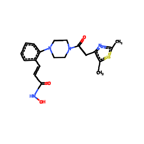 Cc1nc(CC(=O)N2CCN(c3ccccc3C=CC(=O)NO)CC2)c(C)s1